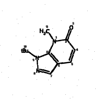 Cn1c(=O)ccc2cnn(C(C)(C)C)c21